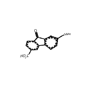 CSc1ccc2c(c1)C(=O)c1ccc(C(=O)O)cc1-2